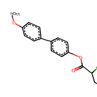 CCCCCCCCOc1ccc(-c2ccc(OC(=O)C(Cl)CC(C)C)cc2)cc1